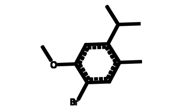 COc1cc(C(C)C)c(C)cc1Br